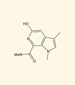 CNC(=O)c1nc(O)cc2c(C)cn(C)c12